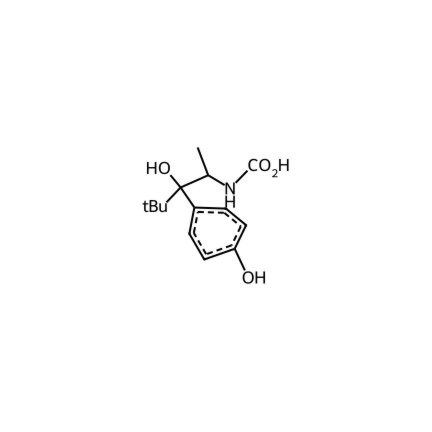 CC(NC(=O)O)C(O)(c1ccc(O)cc1)C(C)(C)C